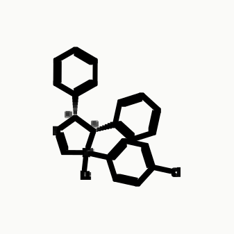 CC[N+]1(c2ccc(Cl)cc2)C=N[C@H](c2ccccc2)[C@@H]1c1ccccc1